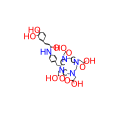 O=C(O)CN1CCN(CC(=O)O)CCN(CC(=O)O)C(Cc2ccc(NC(=O)/C=C/c3ccc(O)c(O)c3)cc2)CN(CC(=O)O)CC1